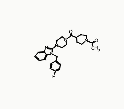 CC(=O)N1CCC(C(=O)N2CCN(c3nc4ccccc4n3Cc3ccc(F)cc3)CC2)CC1